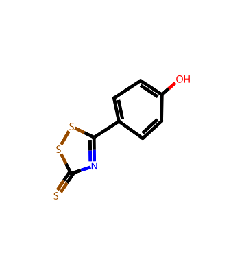 Oc1ccc(-c2nc(=S)ss2)cc1